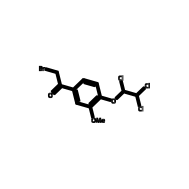 COc1cc(C(=O)CBr)ccc1OC(Cl)C(Cl)Cl